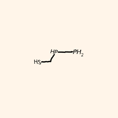 PPCS